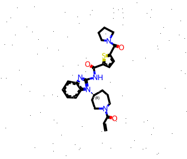 C=CC(=O)N1CCC[C@@H](n2c(NC(=O)c3ccc(C(=O)N4CCCC4)s3)nc3ccccc32)CC1